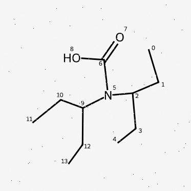 CCC(CC)N(C(=O)O)C(CC)CC